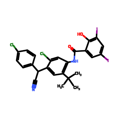 CC(C)(C)c1cc(C(C#N)c2ccc(Cl)cc2)c(Cl)cc1NC(=O)c1cc(I)cc(I)c1O